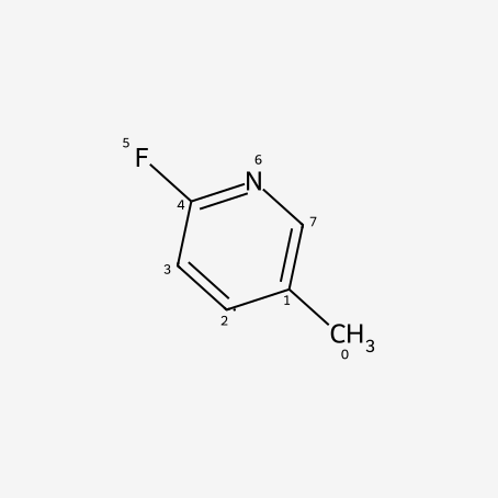 Cc1[c]cc(F)nc1